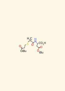 CC(C)COC(=O)CCSCC(C)C(=O)N[C@@H](CC(=O)OC(C)(C)C)C(=O)O